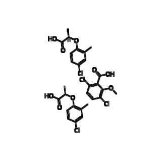 COc1c(Cl)ccc(Cl)c1C(=O)O.Cc1cc(Cl)ccc1OC(C)C(=O)O.Cc1cc(Cl)ccc1O[C@H](C)C(=O)O